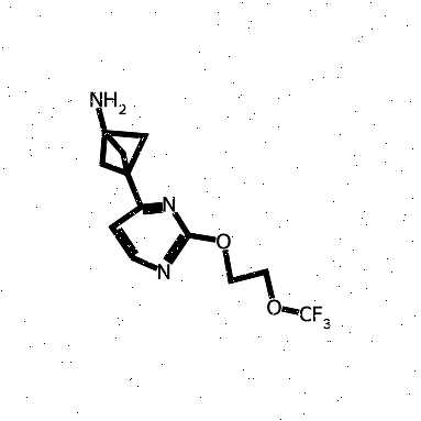 NC12CC(c3ccnc(OCCOC(F)(F)F)n3)(C1)C2